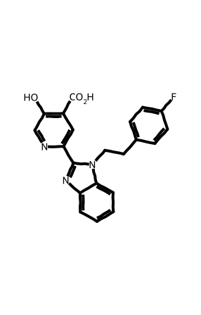 O=C(O)c1cc(-c2nc3ccccc3n2CCc2ccc(F)cc2)ncc1O